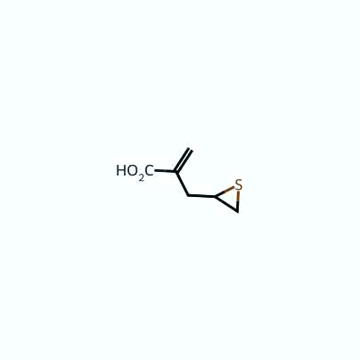 C=C(CC1CS1)C(=O)O